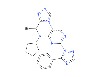 CCC1c2nncn2-c2cnc(-n3ncnc3-c3ccccc3)nc2N1C1CCCC1